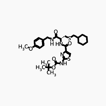 COc1ccc(CNC(=O)[C@H](CSCC2CCCCC2)NC(=O)c2csc(NC(=O)OC(C)(C)C)n2)cc1